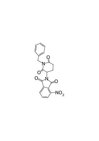 O=C1CCC(N2C(=O)c3cccc([N+](=O)[O-])c3C2=O)C(=O)N1Cc1ccccc1